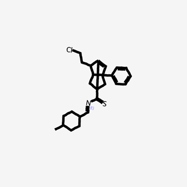 CC1CCC(/C=N/C(=S)C23CC4C(CCCl)C2=CC4(c2ccccc2)C3)CC1